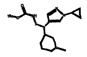 CN1CCCC(N(SNC(=O)OC(C)(C)C)c2cnn(C3CC3)c2)C1